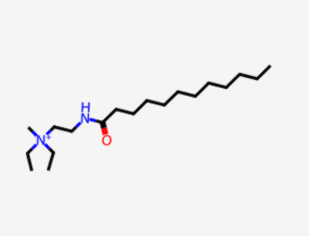 CCCCCCCCCCCC(=O)NCC[N+](C)(CC)CC